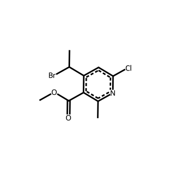 COC(=O)c1c(C(C)Br)cc(Cl)nc1C